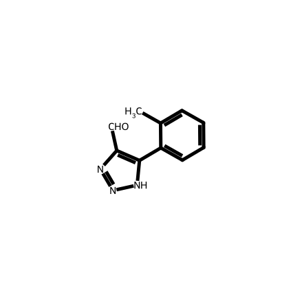 Cc1ccccc1-c1[nH]nnc1C=O